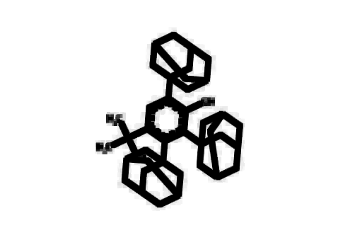 CC(C)(C)c1cc(C23CC4CC(CC(C4)C2)C3)c(O)c(C23CC4CC(CC(C4)C2)C3)c1C12CC3CC(CC(C3)C1)C2